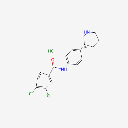 Cl.O=C(Nc1ccc([C@H]2CCCNC2)cc1)c1ccc(Cl)c(Cl)c1